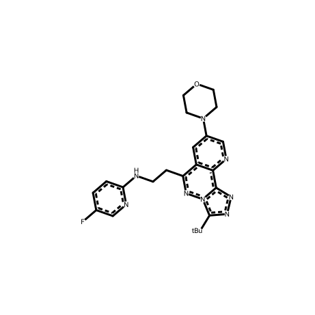 CC(C)(C)c1nnc2c3ncc(N4CCOCC4)cc3c(CCNc3ccc(F)cn3)nn12